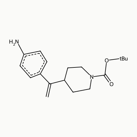 C=C(c1ccc(N)cc1)C1CCN(C(=O)OC(C)(C)C)CC1